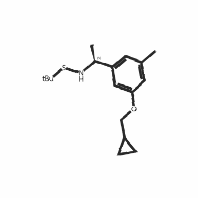 Cc1cc(OCC2CC2)cc([C@H](C)NSC(C)(C)C)c1